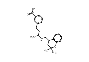 CC(CCc1cccc([N+](=O)[O-])c1)NCC1CC(C)(C)Oc2ccccc21